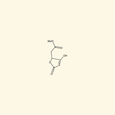 COC(=O)CC1OC(=O)C=C1O